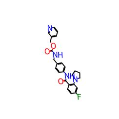 O=C(NCc1ccc(NC(=O)c2ccc(F)cc2N2CCCC2)cc1)OCc1cccnc1